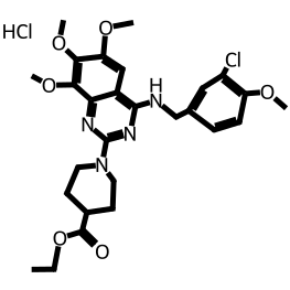 CCOC(=O)C1CCN(c2nc(NCc3ccc(OC)c(Cl)c3)c3cc(OC)c(OC)c(OC)c3n2)CC1.Cl